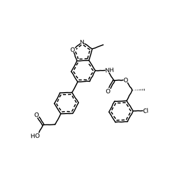 Cc1noc2cc(-c3ccc(CC(=O)O)cc3)cc(NC(=O)O[C@H](C)c3ccccc3Cl)c12